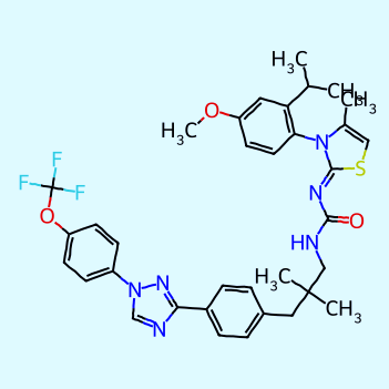 COc1ccc(-n2c(C)cs/c2=N\C(=O)NCC(C)(C)Cc2ccc(-c3ncn(-c4ccc(OC(F)(F)F)cc4)n3)cc2)c(C(C)C)c1